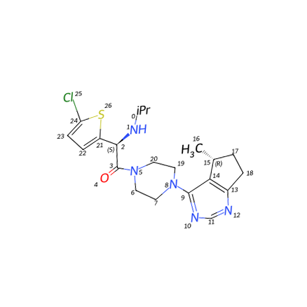 CC(C)N[C@@H](C(=O)N1CCN(c2ncnc3c2[C@H](C)CC3)CC1)c1ccc(Cl)s1